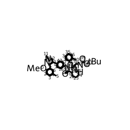 COc1ccc(C)cc1-c1nn(C)cc1-c1ccc(NC(=O)C2CCCCN2C(=O)[C@H](Cc2ccccc2)NC(=O)OC(C)(C)C)cc1